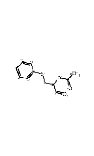 CC(=O)OC(C=O)CSc1ccccc1